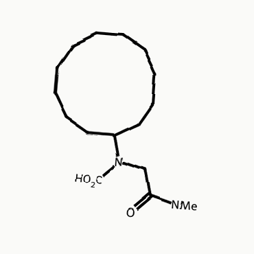 CNC(=O)CN(C(=O)O)C1CCCCCCCCCCC1